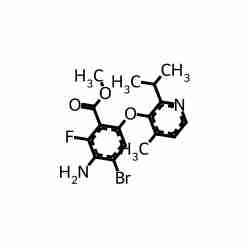 COC(=O)c1c(Oc2c(C)ccnc2C(C)C)cc(Br)c(N)c1F